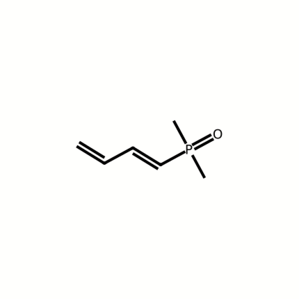 C=C/C=C/P(C)(C)=O